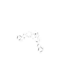 CC(C)CC(NC(=O)c1cc2ccccc2o1)C(=O)N[C@@H]1C(=O)CN(S(=O)(=O)c2ccccn2)CC[C@H]1C